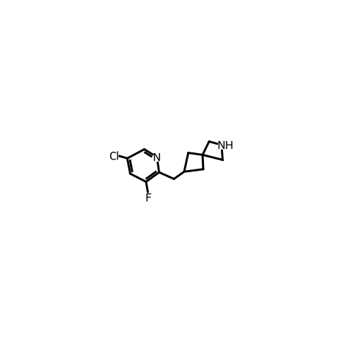 Fc1cc(Cl)cnc1CC1CC2(CNC2)C1